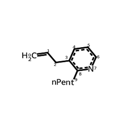 C=CCc1cccnc1CCCCC